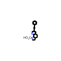 O=C(O)N1CCC2CCc3cc(C#Cc4ccccc4)cnc3C21